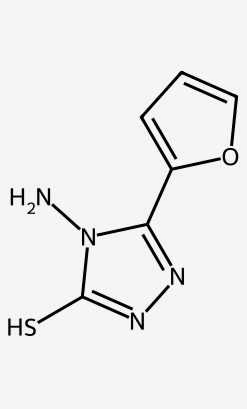 Nn1c(S)nnc1-c1ccco1